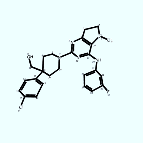 [O-][S+]1CCc2nc(N3CCC(CO)(c4ccc(Cl)cc4)CC3)nc(Nc3cccc(F)c3)c21